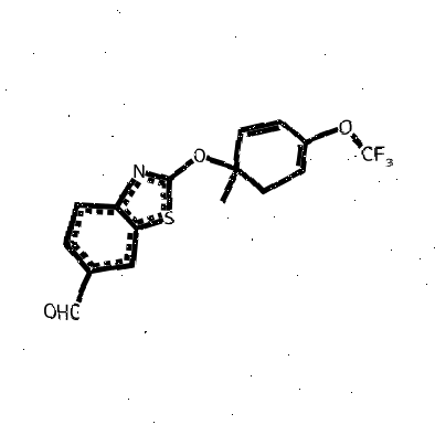 CC1(Oc2nc3ccc(C=O)cc3s2)C=CC(OC(F)(F)F)=CC1